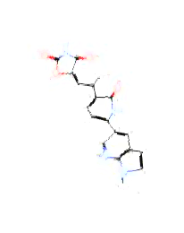 CC(C)C(C=C1OC(=O)NC1=O)c1ccc(-c2cnc3c(ccn3C)c2)[nH]c1=O